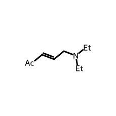 CCN(CC)C/C=C/C(C)=O